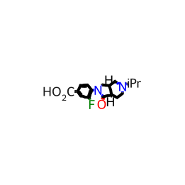 CC(C)N1CC[C@H]2C(=O)N(c3ccc(C(=O)O)cc3F)C[C@H]2C1